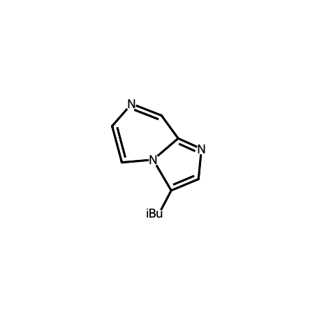 CCC(C)c1cnc2cnccn12